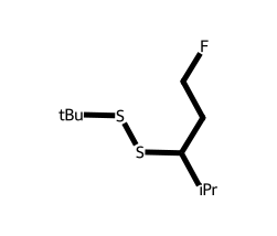 CC(C)C(CCF)SSC(C)(C)C